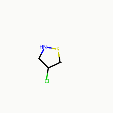 ClC1[CH]SNC1